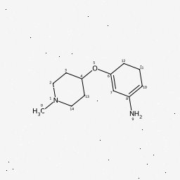 CN1CCC(OC2=CC(N)=CCC2)CC1